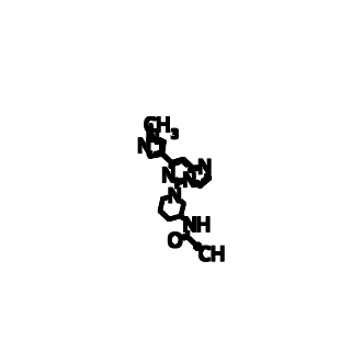 C#CC(=O)NC1CCCN(c2nc(-c3cnn(C)c3)cc3nccn23)C1